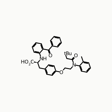 Cc1ccccc1N(CCOc1ccc(C[C@H](Nc2ccccc2C(=O)c2ccccc2)C(=O)O)cc1)C(=O)CC(C)(C)C